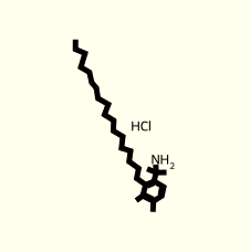 CCCCCCCCCCCCCCCCCCc1c(C(C)(C)N)ccc(C)c1C.Cl